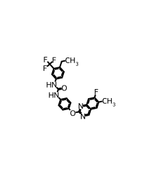 CCc1ccc(NC(=O)Nc2ccc(Oc3ncc4cc(C)c(F)cc4n3)cc2)cc1C(F)(F)F